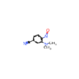 CN(C)c1cc(C#N)ccc1N=O